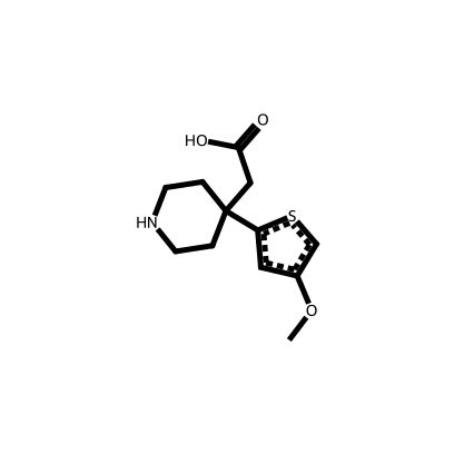 COc1csc(C2(CC(=O)O)CCNCC2)c1